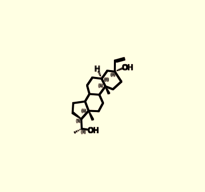 C=C[C@@]1(O)CC[C@]2(C)C3CC[C@@]4(C)C(CC[C@@H]4[C@@H](C)O)C3CC[C@H]2C1